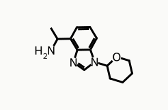 CC(N)c1cccc2c1ncn2C1CCCCO1